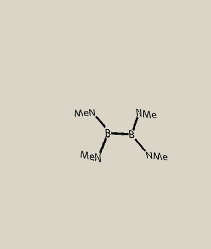 CNB(NC)B(NC)NC